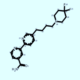 NC(=O)c1ccnc(-c2ccc(CCCCN3CCC(F)(F)CC3)cn2)c1